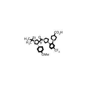 CCC(C)(C)N1C[C@@H](c2ccc(OC)cc2)[C@](F)(C(=O)N2CC[C@@H](c3ccc(C(F)(F)F)cc3N3CCC(C(=O)O)CC3)C2)C1